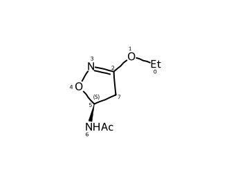 CCOC1=NO[C@H](NC(C)=O)C1